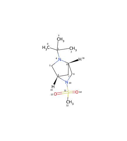 CC(C)(C)N1C[C@@H]2C[C@H]1CN2S(C)(=O)=O